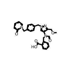 COCc1nn(Cc2ccc(Cn3ccccc3=O)cc2)cc1N(C=O)Cc1ccccc1C(=O)O